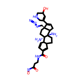 [N-]=[N+]=NC[C@]12CC[C@]3(N)C4C=CC(C(=O)NCCC(=O)N=O)=CC4CC[C@@]3(N)C1CC=C2C1=CC(O)CNC1